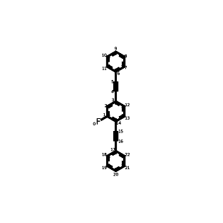 Fc1cc(C#Cc2ccccc2)ccc1C#Cc1ccccc1